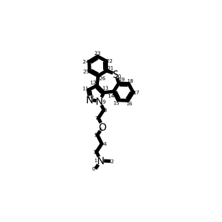 CN(C)CCCOCCn1ncc2c1-c1ccccc1Sc1ccccc1-2